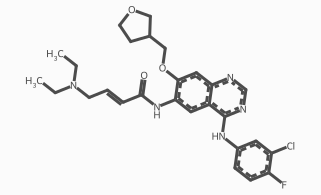 CCN(CC)CC=CC(=O)Nc1cc2c(Nc3ccc(F)c(Cl)c3)ncnc2cc1OCC1CCOC1